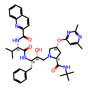 Cc1cc(O[C@@H]2C[C@@H](C(=O)NC(C)(C)C)N(C[C@@H](O)[C@H](Cc3ccccc3)NC(=O)[C@@H](NC(=O)c3ccc4ccccc4n3)C(C)C)C2)nc(C)n1